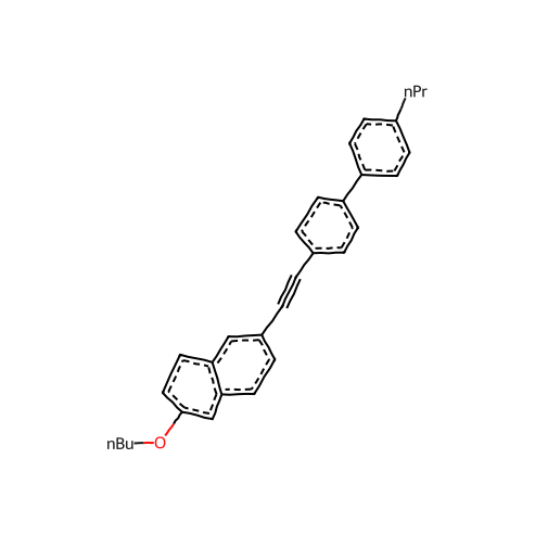 CCCCOc1ccc2cc(C#Cc3ccc(-c4ccc(CCC)cc4)cc3)ccc2c1